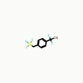 N#CC(F)(F)c1ccc(CS(F)(F)F)cc1